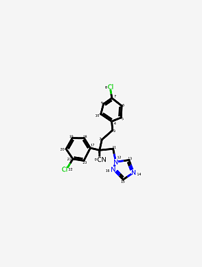 N#CC(CCc1ccc(Cl)cc1)(Cn1cncn1)c1cccc(Cl)c1